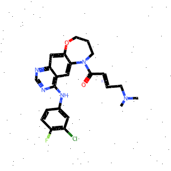 CN(C)C/C=C/C(=O)N1CCCOc2cc3ncnc(Nc4ccc(F)c(Cl)c4)c3cc21